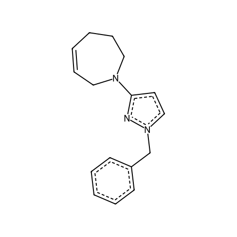 C1=CCN(c2ccn(Cc3ccccc3)n2)CCC1